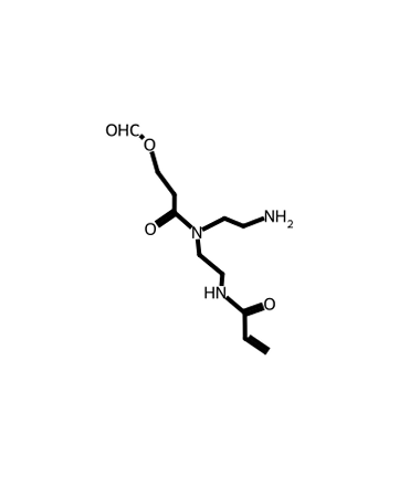 C=CC(=O)NCCN(CCN)C(=O)CCOC=O